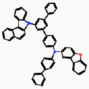 c1ccc(-c2ccc(N(c3ccc(-c4cc(-c5ccccc5)cc(-n5c6ccccc6c6c7ccccc7ccc65)c4)cc3)c3ccc4oc5ccccc5c4c3)cc2)cc1